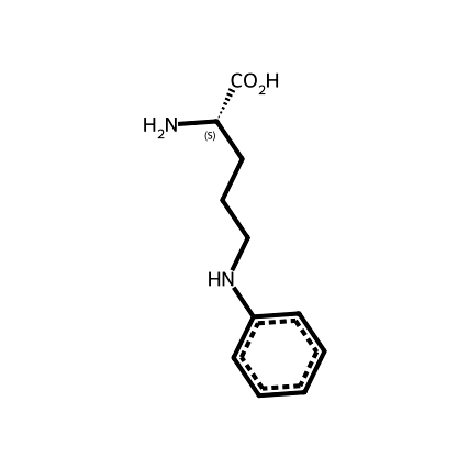 N[C@@H](CCCNc1ccccc1)C(=O)O